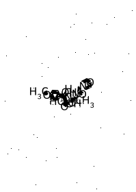 COc1ccc([C@@H](O)[C@@](O)(NC(=O)[C@H](C)NC(=O)CN2CCOCC2)C(=O)O)cc1